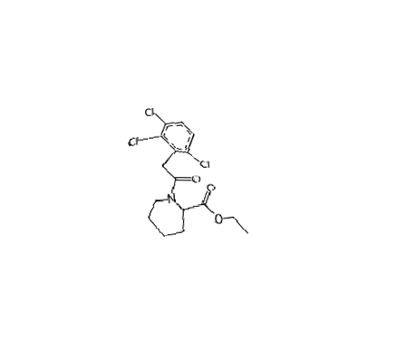 CCOC(=O)C1CCCCN1C(=O)Cc1c(Cl)ccc(Cl)c1Cl